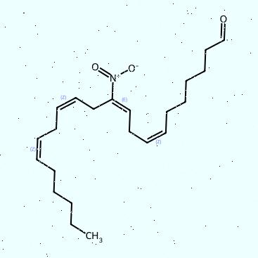 CCCCC/C=C\C/C=C\C/C(=C\C/C=C\CCCCC[C]=O)[N+](=O)[O-]